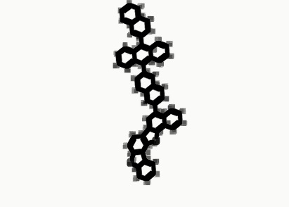 c1ccc2cc(-c3c4ccccc4c(-c4ccc5cc(-c6cc7c8ccc9oc%10ccccc%10c9c8oc7c7ccccc67)ccc5c4)c4ccccc34)ccc2c1